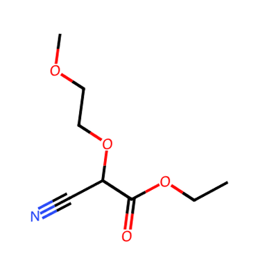 CCOC(=O)C(C#N)OCCOC